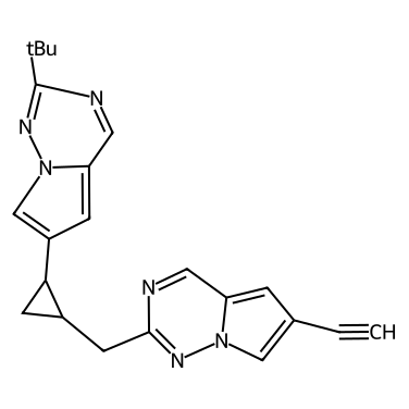 C#Cc1cc2cnc(CC3CC3c3cc4cnc(C(C)(C)C)nn4c3)nn2c1